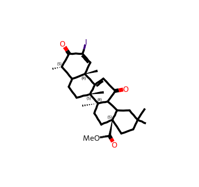 COC(=O)[C@]12CCC(C)(C)CC1C1C(=O)C=C3[C@@]4(C)C=C(I)C(=O)[C@@H](C)C4CC[C@@]3(C)[C@]1(C)CC2